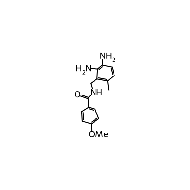 COc1ccc(C(=O)NCc2c(C)ccc(N)c2N)cc1